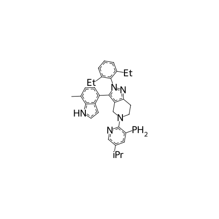 CCc1cccc(CC)c1-n1nc2c(c1-c1ccc(C)c3[nH]ccc13)CN(c1ncc(C(C)C)cc1P)CC2